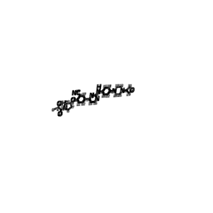 C[C@@H](O)C(=O)N1CCC(Oc2ccc(-c3ccnc(Nc4ccc(N5CCN(C6COC6)CC5)cc4)n3)cc2C#N)C1